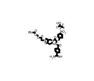 CC(C)(C)C(=O)OCOC(=O)Cn1cc2c(n1)CCN(C(=O)[C@H](Cc1ccc([N+](=O)[O-])cc1)NC(=O)c1ccc(C(=N)N)cc1)C2.O=C(O)C(F)(F)F